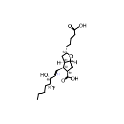 CCCC[C@@H](F)[C@H](O)/C=C/[C@H]1[C@H]2C[C@H](CCCCC(=O)O)O[C@H]2C[C@H]1C(=O)O